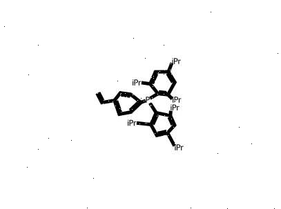 C=Cc1ccc(P(c2c(C(C)C)cc(C(C)C)cc2C(C)C)c2c(C(C)C)cc(C(C)C)cc2C(C)C)cc1